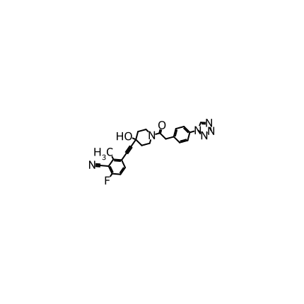 Cc1c(C#CC2(O)CCN(C(=O)Cc3ccc(-n4cnnn4)cc3)CC2)ccc(F)c1C#N